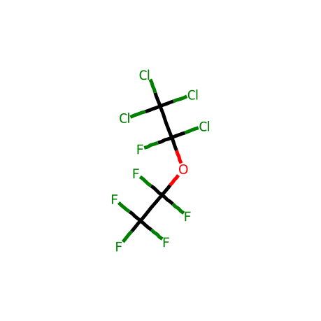 FC(F)(F)C(F)(F)OC(F)(Cl)C(Cl)(Cl)Cl